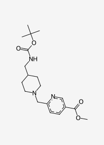 COC(=O)c1ccc(CN2CCC(CNC(=O)OC(C)(C)C)CC2)nc1